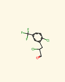 O=CC(Cl)Cc1cc(C(F)(F)F)ccc1Cl